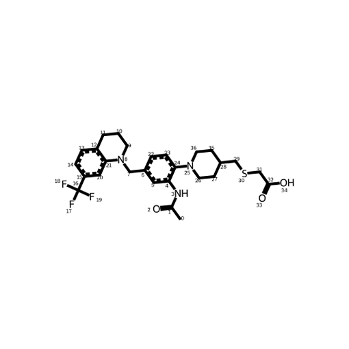 CC(=O)Nc1cc(CN2CCCc3ccc(C(F)(F)F)cc32)ccc1N1CCC(CSCC(=O)O)CC1